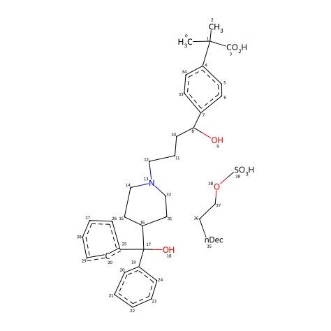 CC(C)(C(=O)O)c1ccc(C(O)CCCN2CCC(C(O)(c3ccccc3)c3ccccc3)CC2)cc1.CCCCCCCCCCCCOS(=O)(=O)O